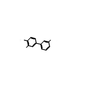 CCOC(=O)c1cccc(-c2ccc(Br)c(C)c2)c1